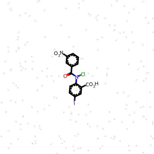 O=C(O)c1cc(I)ccc1N(Cl)C(=O)c1cccc([N+](=O)[O-])c1